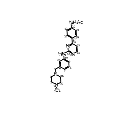 CCN1CCN(Cc2cccc(Nc3nccc(-c4ccc(NC(C)=O)cc4)n3)c2)CC1